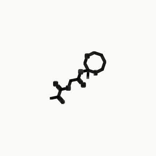 C=C(C)C(=O)OCC(=O)OC1(C)COCCCCS1